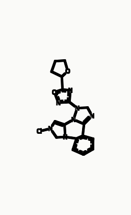 ClN1C=C2N(C1)c1ccccc1C1=NCN(c3noc(C4CCCO4)n3)N21